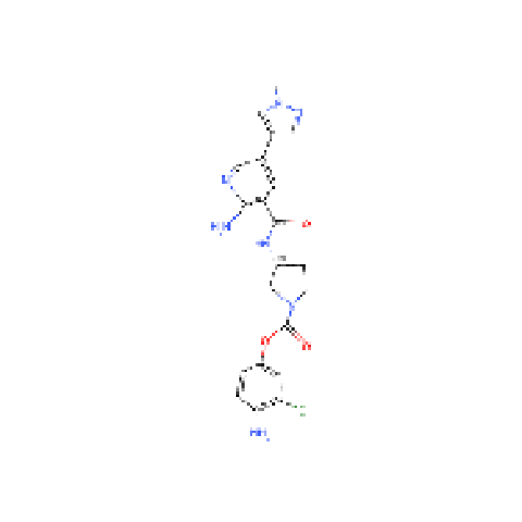 Cn1cc(-c2cnc(N)c(C(=O)N[C@@H]3CCN(C(=O)Oc4ccc(N)c(Cl)c4)C3)c2)cn1